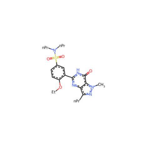 CCCc1nn(C)c2c(=O)[nH]c(-c3cc(S(=O)(=O)N(CCC)CCC)ccc3OCC)nc12